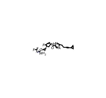 N/C(=N/C(F)F)O[C@@H]1C[C@@H]1c1cc(NC(=O)c2cnc(CCC#CC3CC3)cn2)ccc1F